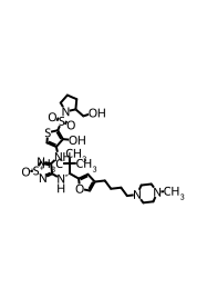 CN1CCN(CCCCc2coc([C@H](Nc3n[s+]([O-])nc3Nc3csc(S(=O)(=O)N4CCCC4CO)c3O)C(C)(C)C)c2)CC1